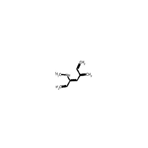 C=CC(=C)/C=C(/C=C)NC